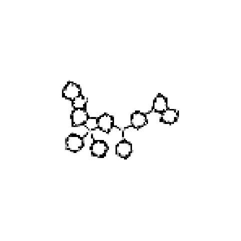 c1ccc(N(c2ccc(-c3cccc4ccccc34)cc2)c2ccc3c(c2)[Si](c2ccccc2)(c2ccccc2)c2ccc4c(sc5ccccc54)c2-3)cc1